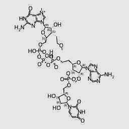 COCC[C@H]1[C@@H](O)[C@H](n2c[n+](C)c3c(=O)[nH]c(N)nc32)O[C@@H]1COP(=O)(O)OP(=O)(O)OP(=O)(O)OCC[C@H]1O[C@@H](n2cnc3c(N)ncnc32)[C@H](OC)[C@@H]1OP(=O)([O-])OC[C@H]1O[C@@H](n2ccc(=O)[nH]c2=O)[C@H](O)[C@@H]1O